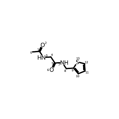 CC(=O)NCC(=O)NCc1cccs1